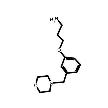 NCCCOc1cccc(CN2CCOCC2)c1